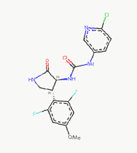 COc1cc(F)c([C@@H]2CNC(=O)[C@H]2NC(=O)Nc2ccc(Cl)nc2)c(F)c1